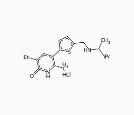 CCc1cc(-c2ccc(CNC(C)C(C)C)s2)c(C)[nH]c1=O.Cl